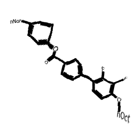 CCCCCCCCCc1ccc(OC(=O)c2ccc(-c3ccc(OCCCCCCCC)c(F)c3F)cc2)cc1